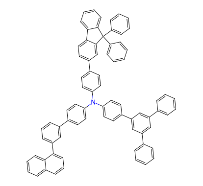 c1ccc(-c2cc(-c3ccccc3)cc(-c3ccc(N(c4ccc(-c5cccc(-c6cccc7ccccc67)c5)cc4)c4ccc(-c5ccc6c(c5)C(c5ccccc5)(c5ccccc5)c5ccccc5-6)cc4)cc3)c2)cc1